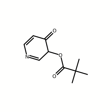 CC(C)(C)C(=O)OC1C=NC=CC1=O